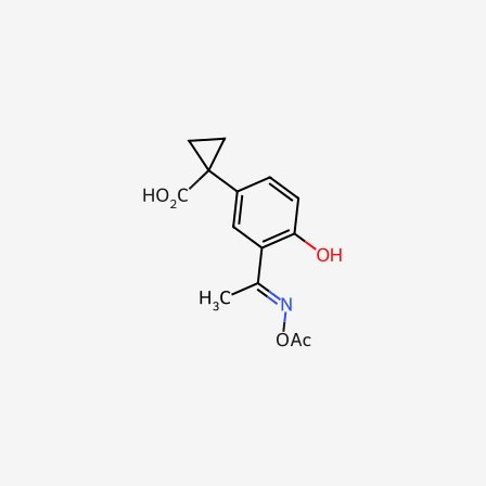 CC(=O)ON=C(C)c1cc(C2(C(=O)O)CC2)ccc1O